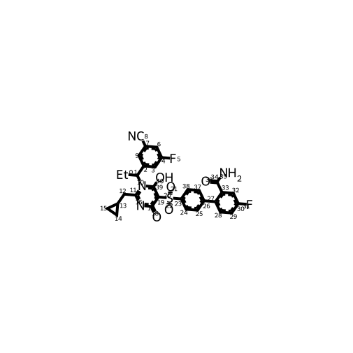 CCC(c1cc(F)cc(C#N)c1)n1c(CC2CC2)nc(=O)c(S(=O)(=O)c2ccc(-c3ccc(F)cc3C(N)=O)cc2)c1O